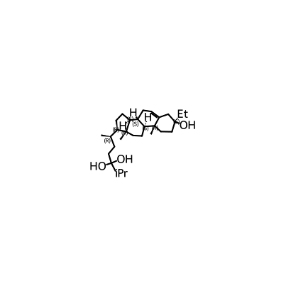 CC[C@]1(O)CC[C@@]2(C)C(=CC[C@H]3[C@@H]4CC[C@H]([C@H](C)CCC(O)(O)C(C)C)[C@@]4(C)CC[C@@H]32)C1